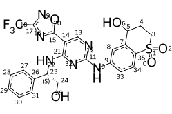 O=S1(=O)CCC(O)c2cc(Nc3ncc(-c4nc(C(F)(F)F)no4)c(N[C@H](CO)c4ccccc4)n3)ccc21